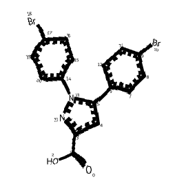 O=C(O)c1cc(-c2ccc(Br)cc2)n(-c2ccc(Br)cc2)n1